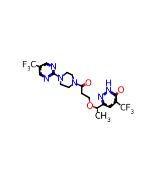 C[C@@H](OCCC(=O)N1CCN(c2ncc(C(F)(F)F)cn2)CC1)c1cc(C(F)(F)F)c(=O)[nH]n1